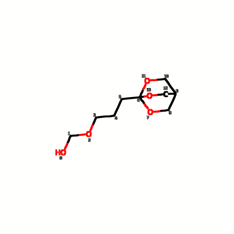 OCOCCCC12OCC(CO1)CO2